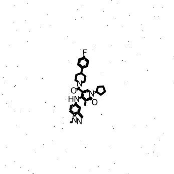 Cc1c(Nc2ccc3c(cnn3C)c2)c(C(=O)N2CCC(c3ccc(F)cc3)CC2)cn(C2CCCC2)c1=O